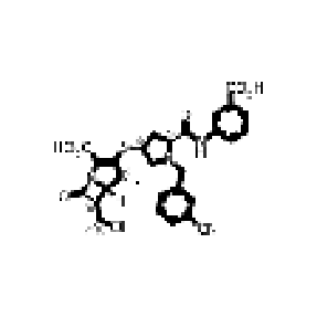 C[C@@H](O)[C@H]1C(=O)N2C(C(=O)O)=C(S[C@H]3C[C@@H](C(=O)Nc4cccc(C(=O)O)c4)N(Cc4cccc(C#N)c4)C3)[C@H](C)[C@H]12